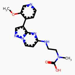 COc1cnccc1-c1cnn2ccc(NCCN(C)C(=O)O)nc12